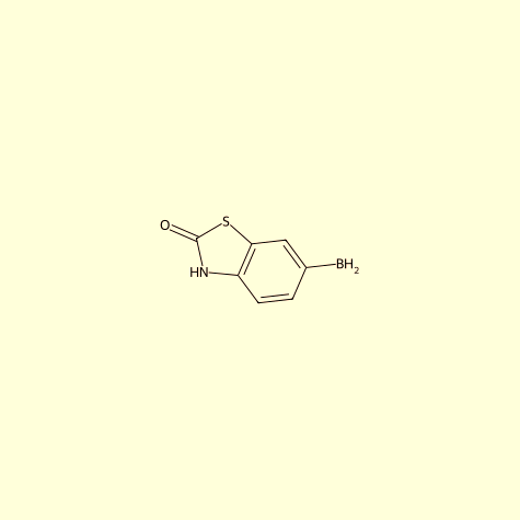 Bc1ccc2[nH]c(=O)sc2c1